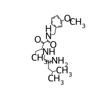 CCC(NC[C@@H](N)CC(C)C)C(=O)C(=O)NCc1cccc(OC)c1